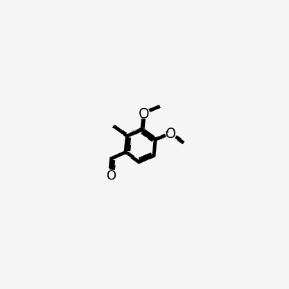 COc1ccc(C=O)c(C)c1OC